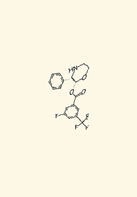 O=C(O[C@H]1OCCN[C@H]1c1ccccc1)c1cc(F)cc(C(F)(F)F)c1